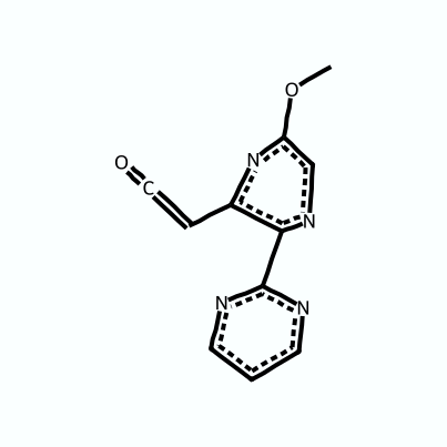 COc1cnc(-c2ncccn2)c(C=C=O)n1